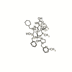 CC[C@H](C)[C@@H](C(=O)N[C@@H](Cc1ccccc1)[C@@H](O)CN(CC1CCCCC1)NC(=O)[C@@H](NC(=O)O)C(C)(C)C)N1CCN(Cc2cccc(C)n2)C1=O